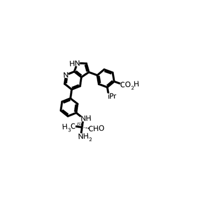 CC(C)c1cc(-c2c[nH]c3ncc(-c4cccc(N[C@](C)(N)C=O)c4)cc23)ccc1C(=O)O